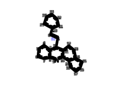 C(=C\c1c2ccccc2nc2c1ccc1ccccc12)/c1ccccc1